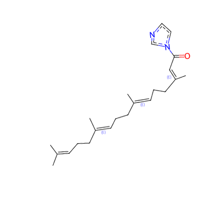 CC(C)=CCC/C(C)=C/CC/C(C)=C/CC/C(C)=C/C(=O)n1ccnc1